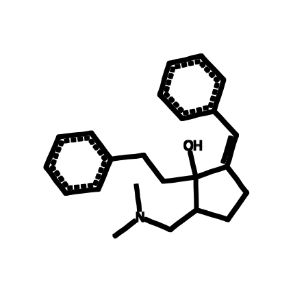 CN(C)CC1CCC(=Cc2ccccc2)C1(O)CCc1ccccc1